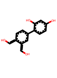 OC=c1ccc(-c2ccc(O)cc2O)cc1=CO